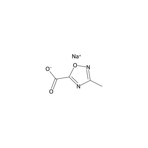 Cc1noc(C(=O)[O-])n1.[Na+]